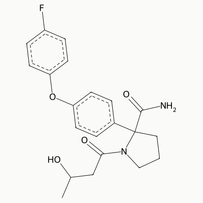 CC(O)CC(=O)N1CCCC1(C(N)=O)c1ccc(Oc2ccc(F)cc2)cc1